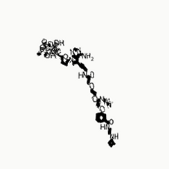 CP(O)OP(=O)(O)OP(=O)(O)OC[C@@H]1CC[C@H](n2cc(C#CCNC(=O)COCCOC(COc3cccc(C(=O)NCCNC4CCC4)c3)N=[N+]=[N-])c3c(N)ncnc32)O1